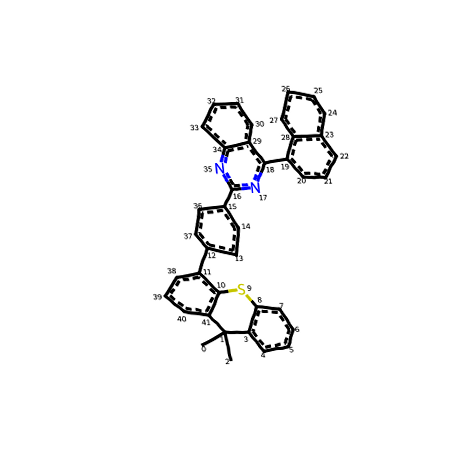 CC1(C)c2ccccc2Sc2c(-c3ccc(-c4nc(-c5cccc6ccccc56)c5ccccc5n4)cc3)cccc21